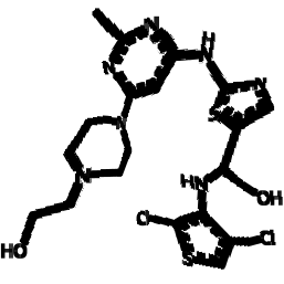 Cc1nc(Nc2ncc(C(O)Nc3c(Cl)csc3Cl)s2)cc(N2CCN(CCO)CC2)n1